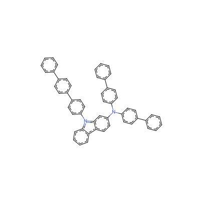 c1ccc(-c2ccc(-c3ccc(-n4c5ccccc5c5ccc(N(c6ccc(-c7ccccc7)cc6)c6ccc(-c7ccccc7)cc6)cc54)cc3)cc2)cc1